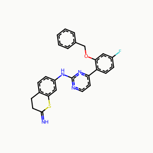 N=C1CCc2ccc(Nc3nccc(-c4ccc(F)cc4OCc4ccccc4)n3)cc2S1